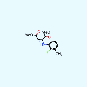 COC(=O)/C=C(/Nc1cccc(C)c1F)C(=O)OC